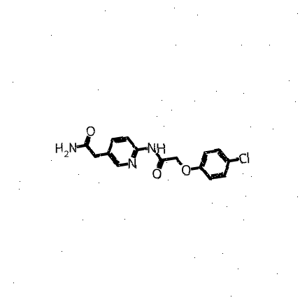 NC(=O)Cc1ccc(NC(=O)COc2ccc(Cl)cc2)nc1